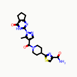 Cc1c(C(=O)N2CCC(c3nc(C(N)=O)cs3)CC2)cnn1-c1nc2c(c(=O)[nH]1)CCC2